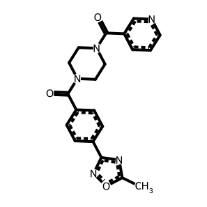 Cc1nc(-c2ccc(C(=O)N3CCN(C(=O)c4cccnc4)CC3)cc2)no1